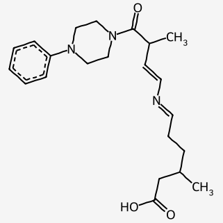 CC(CC/C=N/C=C/C(C)C(=O)N1CCN(c2ccccc2)CC1)CC(=O)O